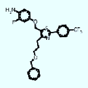 Nc1ccc(OCc2sc(-c3ccc(C(F)(F)F)cc3)nc2CCCOCc2ccccc2)cc1F